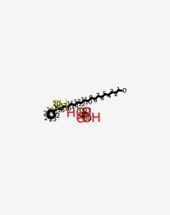 CCCCCCCCCCCCCCCCCCCC(S)c1ccccc1.O=S(=O)(O)O